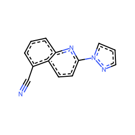 N#Cc1cccc2nc(-n3cccn3)ccc12